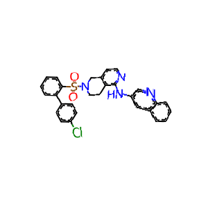 O=S(=O)(c1ccccc1-c1ccc(Cl)cc1)N1CCc2c(ccnc2Nc2cnc3ccccc3c2)C1